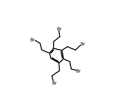 BrCCc1cc(CCBr)c(CCBr)c(CCBr)c1CCBr